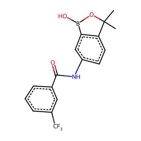 CC1(C)OB(O)c2cc(NC(=O)c3cccc(C(F)(F)F)c3)ccc21